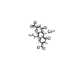 CCCc1c2nc(C(=O)[O-])cc(Cl)c2cc2c(=O)cc(C(=O)[O-])oc12.[Ca+2]